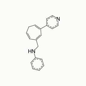 C1=CC(CNc2ccccc2)=CC(c2ccncc2)=CC1